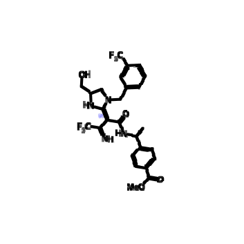 COC(=O)c1ccc(C(C)NC(=O)/C(C(=N)C(F)(F)F)=C2/NC(CO)CN2Cc2cccc(C(F)(F)F)c2)cc1